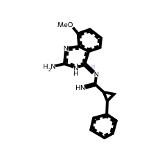 COc1cccc2/c(=N/C(=N)C3CC3c3ccccc3)[nH]c(N)nc12